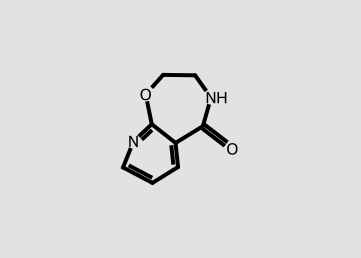 O=C1NCCOc2ncccc21